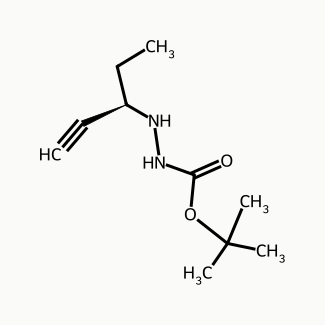 C#C[C@@H](CC)NNC(=O)OC(C)(C)C